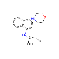 C1COCCN1.CC(=O)C[C@H](Nc1cccc2ccccc12)C(=O)O